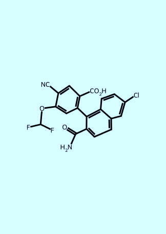 N#Cc1cc(C(=O)O)c(-c2c(C(N)=O)ccc3cc(Cl)ccc23)cc1OC(F)F